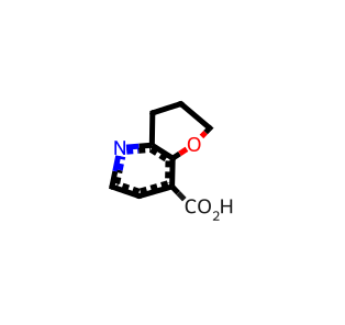 O=C(O)c1ccnc2c1OCCC2